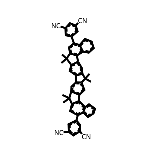 CC1(C)c2cc3c(cc2-c2cc4c(cc21)-c1c(cc(-c2cc(C#N)cc(C#N)c2)c2ccccc12)C4(C)C)C(C)(C)c1cc(-c2cc(C#N)cc(C#N)c2)c2ccccc2c1-3